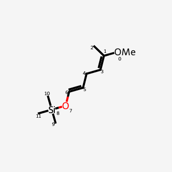 COC(C)=CCC=CO[Si](C)(C)C